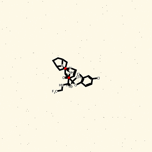 CC(C)(Oc1ccc(Cl)cc1Cl)C(=O)NC1CC2CCC(C1)N2c1cc(C(=O)NCC(F)(F)F)ccn1